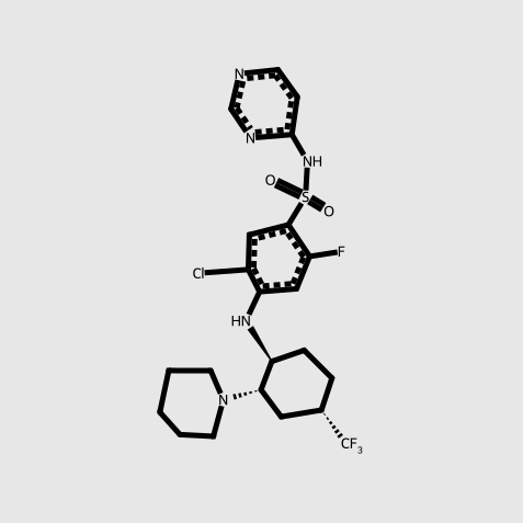 O=S(=O)(Nc1ccncn1)c1cc(Cl)c(N[C@H]2CC[C@H](C(F)(F)F)C[C@@H]2N2CCCCC2)cc1F